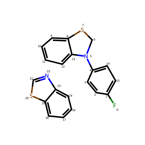 Fc1ccc(N2CSc3ccccc32)cc1.c1ccc2scnc2c1